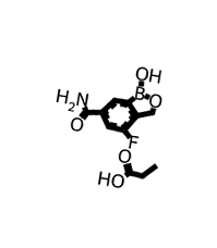 CCC(=O)O.NC(=O)c1cc(F)c2c(c1)B(O)OC2